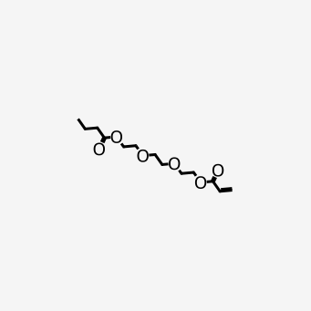 C=CC(=O)OCCOCCOCCOC(=O)CCC